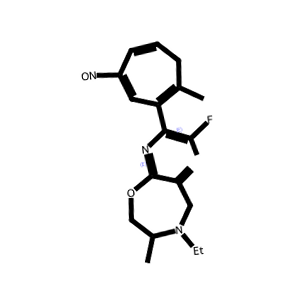 C=C1CN(CC)C(C)CO/C1=N/C(C1=C(C)CC=CC(N=O)=C1)=C(\C)F